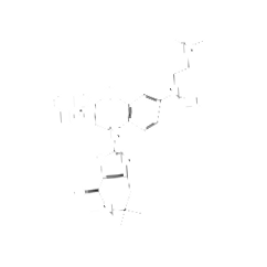 CCN(CCN(C)C)c1ccc2c(c1)OCCN2c1nc2c(s1)C(=O)NC(C)(C)C2.O=CO